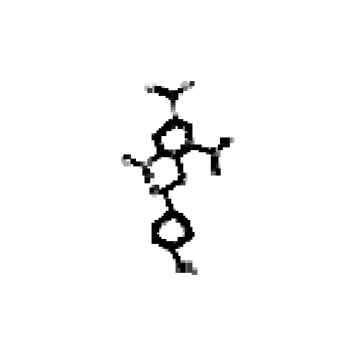 Nc1ccc(C(=O)Oc2c([N+](=O)[O-])cc([N+](=O)[O-])cc2[N+](=O)[O-])cc1